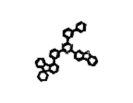 c1ccc(-c2cccc(-c3nc(-c4cccc(-c5cccc6c5-c5ccccc5C65CCCCC5)c4)nc(-c4ccc5c(c4)oc4ccccc45)n3)c2)cc1